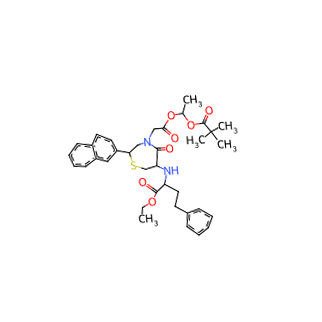 CCOC(=O)C(CCc1ccccc1)NC1CSC(c2ccc3ccccc3c2)CN(CC(=O)OC(C)OC(=O)C(C)(C)C)C1=O